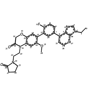 CCn1cnc2c(-c3ccc(F)c(-c4cc5c(cc4OC)N(CCN4CCCC4=O)C(=O)CO5)c3)cnnc21